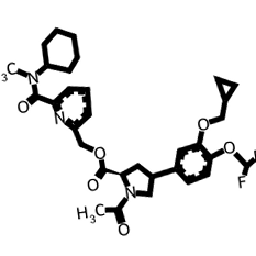 CC(=O)N1CC(c2ccc(OC(F)F)c(OCC3CC3)c2)C[C@@H]1C(=O)OCc1cccc(C(=O)N(C)C2CCCCC2)n1